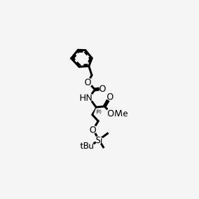 COC(=O)[C@@H](CCO[Si](C)(C)C(C)(C)C)NC(=O)OCc1ccccc1